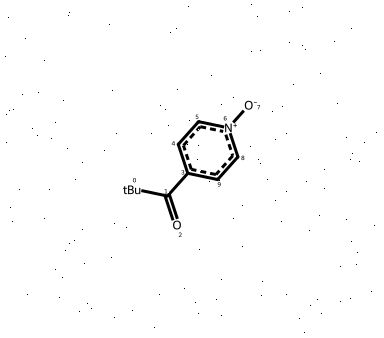 CC(C)(C)C(=O)c1cc[n+]([O-])cc1